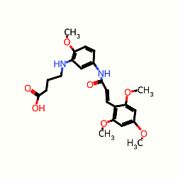 COc1cc(OC)c(C=CC(=O)Nc2ccc(OC)c(NCCCC(=O)O)c2)c(OC)c1